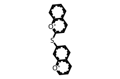 c1c[o+]c2cc(Sc3ccc4ccccc4[o+]3)ccc2c1